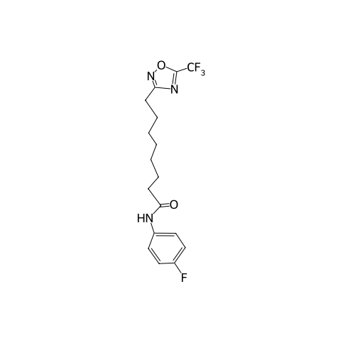 O=C(CCCCCCCc1noc(C(F)(F)F)n1)Nc1ccc(F)cc1